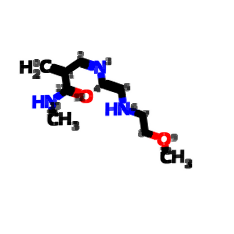 C=C(/C=N\C=C\NCCOC)C(=O)NC